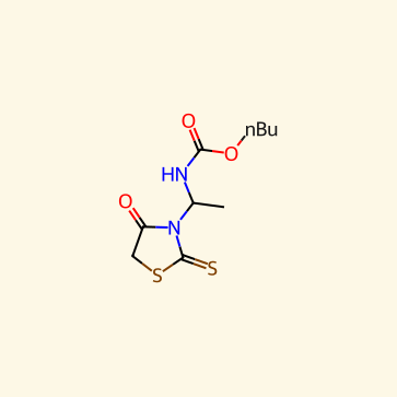 CCCCOC(=O)NC(C)N1C(=O)CSC1=S